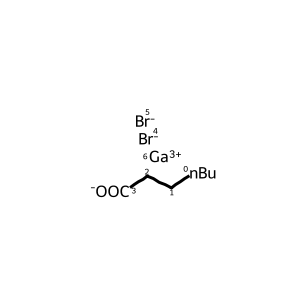 CCCCCCC(=O)[O-].[Br-].[Br-].[Ga+3]